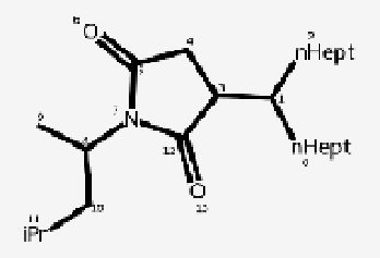 CCCCCCCC(CCCCCCC)C1CC(=O)N(C(C)CC(C)C)C1=O